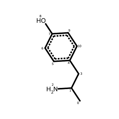 CC(N)[CH]c1ccc(O)cc1